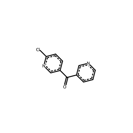 O=C(c1cccnc1)c1ccc(Cl)nc1